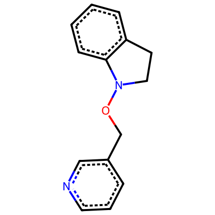 c1cncc(CON2CCc3ccccc32)c1